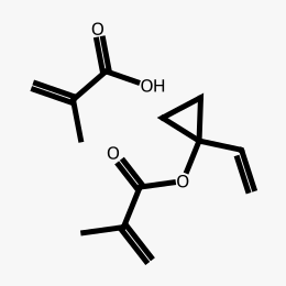 C=C(C)C(=O)O.C=CC1(OC(=O)C(=C)C)CC1